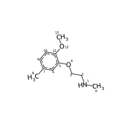 CNCCOc1cc(C)ccc1OC